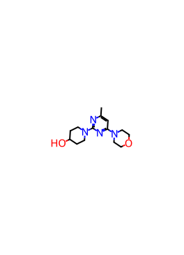 Cc1cc(N2CCOCC2)nc(N2CCC(O)CC2)n1